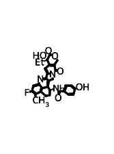 CC[C@@]1(O)C(=O)OCc2c1cc1n(c2=O)Cc2c-1nc1cc(F)c(C)c3c1c2[C@@H](NC(=O)c1ccc(O)cc1)CC3